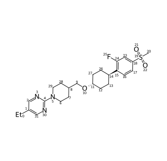 CCc1cnc(N2CCC(CO[C@H]3CC[C@H](c4ccc(S(C)(=O)=O)cc4F)CC3)CC2)nc1